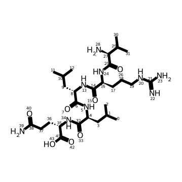 CC(C)C[C@H](NC(=O)[C@H](CC(C)C)NC(=O)[C@H](CCCNC(=N)N)NC(=O)[C@@H](N)C(C)C)C(=O)N[C@@H](CCC(N)=O)C(=O)O